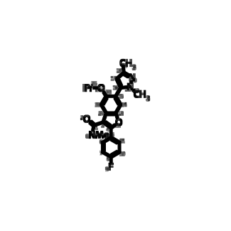 CNC(=O)c1c(-c2ccc(F)cc2)oc2cc(-c3cc(C)nn3C)c(OC(C)C)cc12